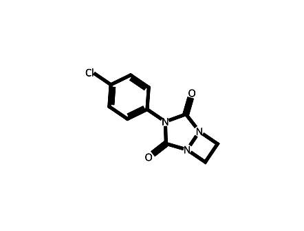 O=c1n(-c2ccc(Cl)cc2)c(=O)n2n1CC2